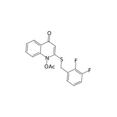 CC(=O)On1c(SCc2cccc(F)c2F)cc(=O)c2ccccc21